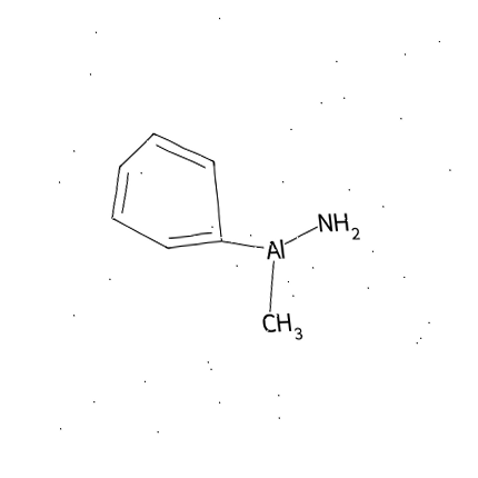 [CH3][Al]([NH2])[c]1ccccc1